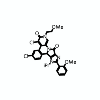 COCCn1cc2c(c(Cl)c1=O)-c1cc(Cl)ccc1C1c3c(nc(-c4ccccc4OC)n3C(C)C)C(=O)N21